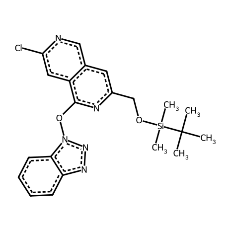 CC(C)(C)[Si](C)(C)OCc1cc2cnc(Cl)cc2c(On2nnc3ccccc32)n1